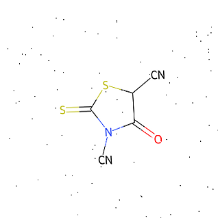 N#CC1SC(=S)N(C#N)C1=O